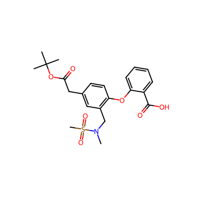 CN(Cc1cc(CC(=O)OC(C)(C)C)ccc1Oc1ccccc1C(=O)O)S(C)(=O)=O